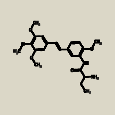 CCC(N)C(=O)Nc1cc(C=Cc2cc(OC)c(OC)c(OC)c2)ccc1OC